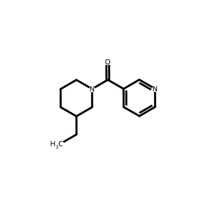 CCC1CCCN(C(=O)c2cccnc2)C1